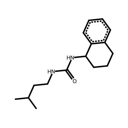 CC(C)CCNC(=O)NC1CCCc2ccccc21